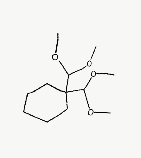 COC(OC)C1(C(OC)OC)CCCCC1